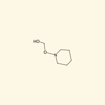 OCON1CCCCC1